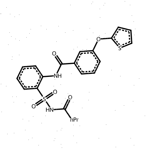 CCCC(=O)NS(=O)(=O)c1ccccc1NC(=O)c1cccc(Oc2cccs2)c1